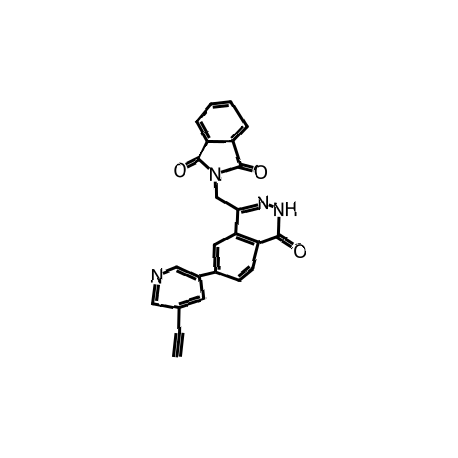 C#Cc1cncc(-c2ccc3c(=O)[nH]nc(CN4C(=O)c5ccccc5C4=O)c3c2)c1